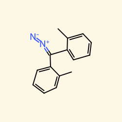 Cc1ccccc1C(=[N+]=[N-])c1ccccc1C